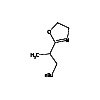 CCCCCC(C)C1=NCCO1